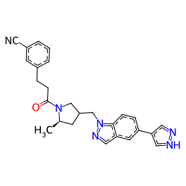 C[C@@H]1CC(Cn2ncc3cc(-c4cn[nH]c4)ccc32)CN1C(=O)CCc1cccc(C#N)c1